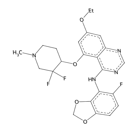 CCOc1cc(OC2CCN(C)CC2(F)F)c2c(Nc3c(F)ccc4c3OCO4)ncnc2c1